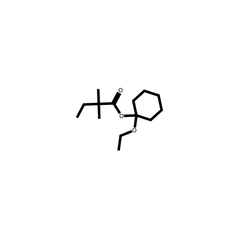 CCOC1(OC(=O)C(C)(C)CC)CCCCC1